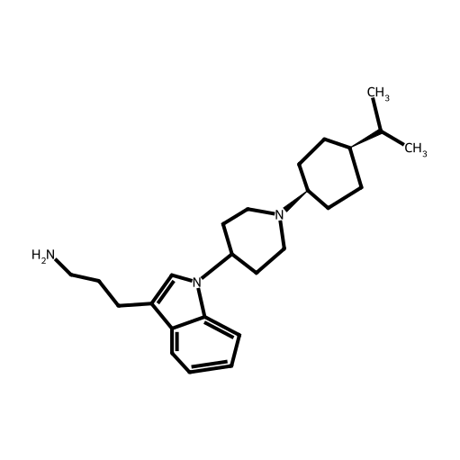 CC(C)[C@H]1CC[C@@H](N2CCC(n3cc(CCCN)c4ccccc43)CC2)CC1